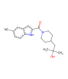 CC(C)(O)CC1CCN(C(=O)c2cc3cc(C#N)ccc3[nH]2)CC1